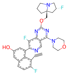 C#Cc1c(F)ccc2cc(O)cc(-c3ncc4c(N5CCOCC5)nc(OC[C@@]56CCCN5C[C@H](F)C6)nc4c3F)c12